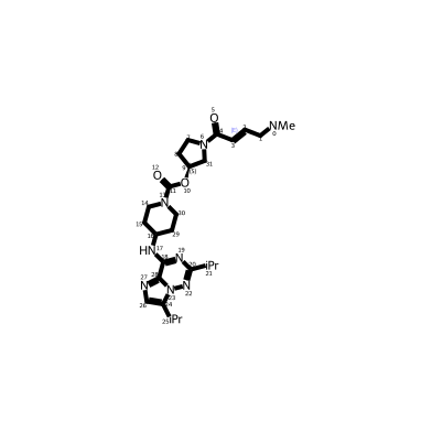 CNC/C=C/C(=O)N1CC[C@H](OC(=O)N2CCC(Nc3nc(C(C)C)nn4c(C(C)C)cnc34)CC2)C1